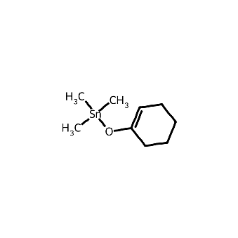 [CH3][Sn]([CH3])([CH3])[O]C1=CCCCC1